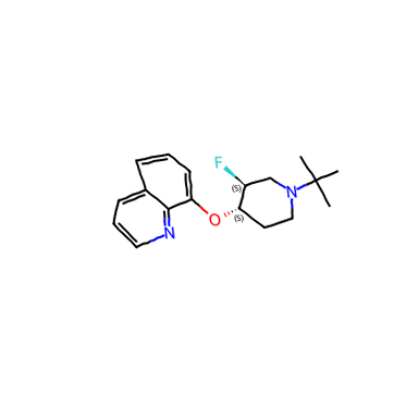 CC(C)(C)N1CC[C@H](Oc2cccc3cccnc23)[C@@H](F)C1